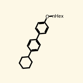 CCCCCCOc1ccc(-c2ccc(C3CC[CH]CC3)cc2)cc1